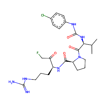 CC(C)[C@H](NC(=O)Nc1ccc(Cl)cc1)C(=O)N1CCC[C@H]1C(=O)N[C@@H](CCCNC(=N)N)C(=O)CF